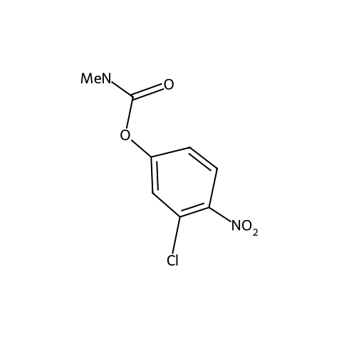 CNC(=O)Oc1ccc([N+](=O)[O-])c(Cl)c1